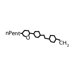 C=CC1CCC(CCC2CCC(C3CCC(CCCCC)CO3)CC2)CC1